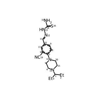 CCC(CC)N1CCN(c2ccc(C=NNC(N)=S)cc2C#N)CC1